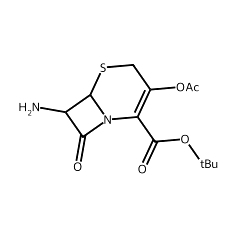 CC(=O)OC1=C(C(=O)OC(C)(C)C)N2C(=O)C(N)C2SC1